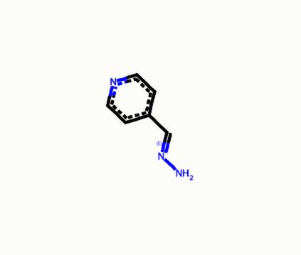 N/N=C/c1ccncc1